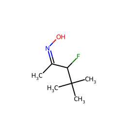 C/C(=N/O)C(F)C(C)(C)C